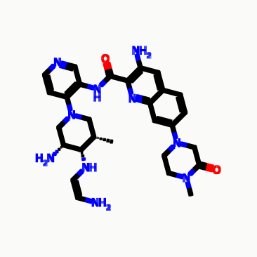 C[C@H]1CN(c2ccncc2NC(=O)c2nc3cc(N4CCN(C)C(=O)C4)ccc3cc2N)C[C@@H](N)[C@H]1N/C=C\N